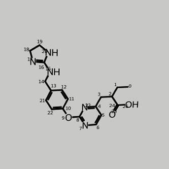 CCC(Cc1ccnc(Oc2ccc(CNC3=NCCN3)cc2)n1)C(=O)O